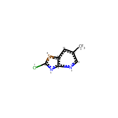 FC(F)(F)c1cnc2nc(Cl)sc2c1